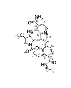 CCS(=O)(=O)N1C[C@@H](C)[C@H](Nc2c(C(N)=O)cnn3cc(-c4ccc(C(=O)NC)nc4)cc23)C1